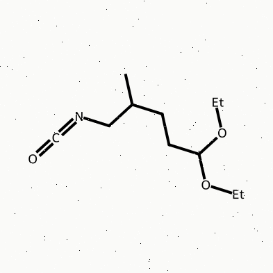 CCO[C](CCC(C)CN=C=O)OCC